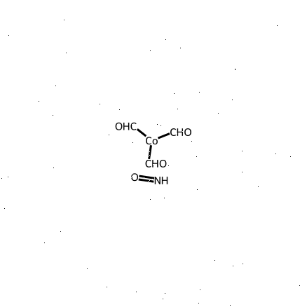 N=O.O=[CH][Co]([CH]=O)[CH]=O